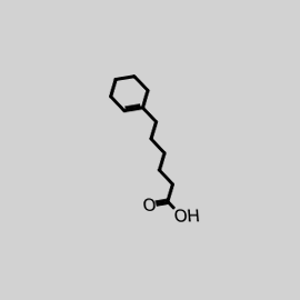 O=C(O)CCCCCC1=CCCCC1